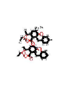 CCOC(C)c1ccc2c(c1C(=O)[O-])Cc1ccccc1O2.CCOC(C)c1ccc2c(c1C(=O)[O-])Cc1ccccc1O2.[Pt+2]